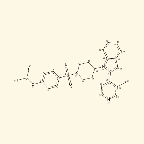 O=S(=O)(c1ccc(OC(F)F)cc1)N1CCC(n2c(-c3ccncc3F)nc3nccnc32)CC1